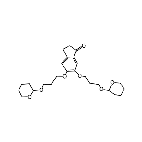 O=C1CCc2cc(OCCCOC3CCCCO3)c(OCCCOC3CCCCO3)cc21